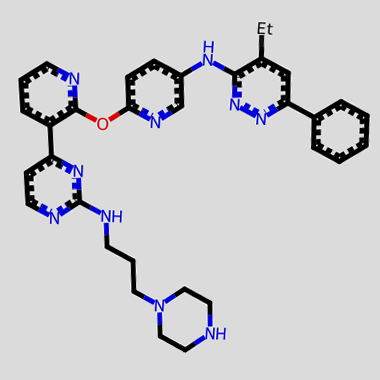 CCc1cc(-c2ccccc2)nnc1Nc1ccc(Oc2ncccc2-c2ccnc(NCCCN3CCNCC3)n2)nc1